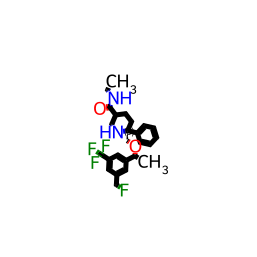 CCNC(=O)C1CC[C@@](COC(C)c2cc(CF)cc(C(F)(F)F)c2)(c2ccccc2)NC1